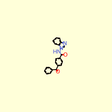 O=C(Nn1cnc2ccccc21)c1ccc(C(=O)c2ccccc2)cc1